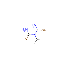 CC(C)N(C(N)=S)C(N)S